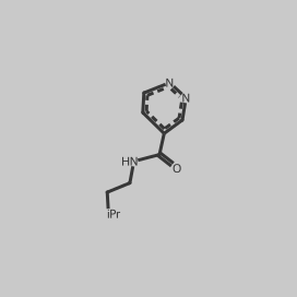 CC(C)CCNC(=O)c1ccnnc1